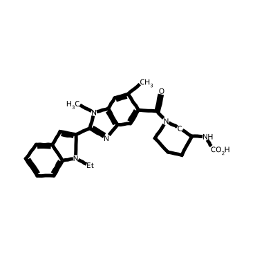 CCn1c(-c2nc3cc(C(=O)N4CCCC(NC(=O)O)C4)c(C)cc3n2C)cc2ccccc21